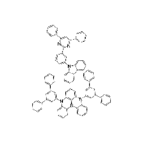 c1ccc(-c2cc(-c3ccccc3)cc(N3c4ccccc4B4c5ccccc5N(c5cc(-c6ccccc6)cc(-c6ccccc6)c5)c5cc(-c6ccc7c(c6)c6ccccc6n7-c6cccc(-c7nc(-c8ccccc8)cc(-c8ccccc8)n7)c6)cc3c54)c2)cc1